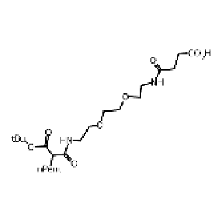 CCCCCC(C(=O)NCCOCCOCCNC(=O)CCC(=O)O)C(=O)OC(C)(C)C